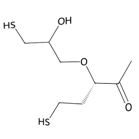 CC(=O)[C@H](CCS)OCC(O)CS